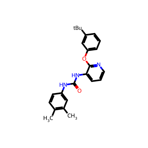 Cc1ccc(NC(=O)Nc2cccnc2Oc2cccc(C(C)(C)C)c2)cc1C